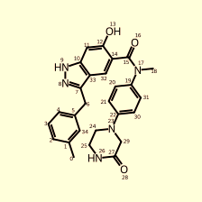 Cc1cccc(Cc2n[nH]c3cc(O)c(C(=O)N(C)c4ccc(N5CCNC(=O)C5)cc4)cc23)c1